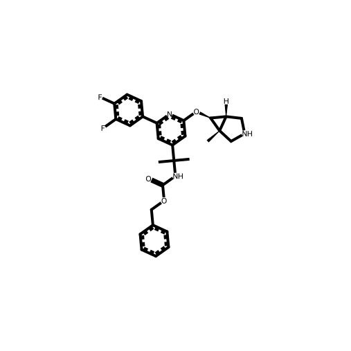 CC(C)(NC(=O)OCc1ccccc1)c1cc(O[C@H]2[C@@H]3CNC[C@@]32C)nc(-c2ccc(F)c(F)c2)c1